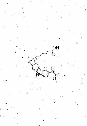 CC(=O)Nc1ccc2c(c1)c1cc3c(cc1n2C)oc(C)[n+]3CCCCCC(=O)O